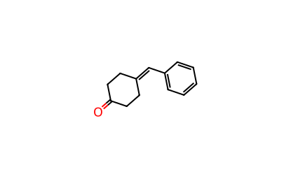 O=C1CCC(=Cc2ccccc2)CC1